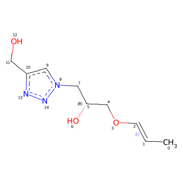 C/C=C/OC[C@H](O)Cn1cc(CO)nn1